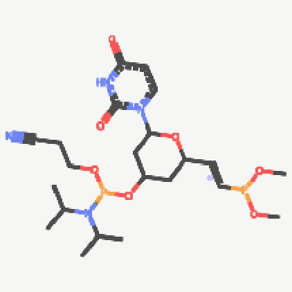 COP(/C=C/C1CC(OP(OCCC#N)N(C(C)C)C(C)C)CC(n2ccc(=O)[nH]c2=O)O1)OC